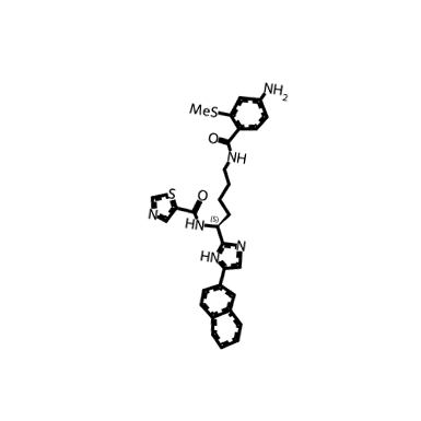 CSc1cc(N)ccc1C(=O)NCCCC[C@H](NC(=O)c1cncs1)c1ncc(-c2ccc3ccccc3c2)[nH]1